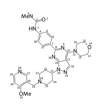 CNC(=O)Nc1ccc(-c2nc(N3CCOCC3)c3cnn(C4CCN(Cc5cnccc5OC)CC4)c3n2)cc1